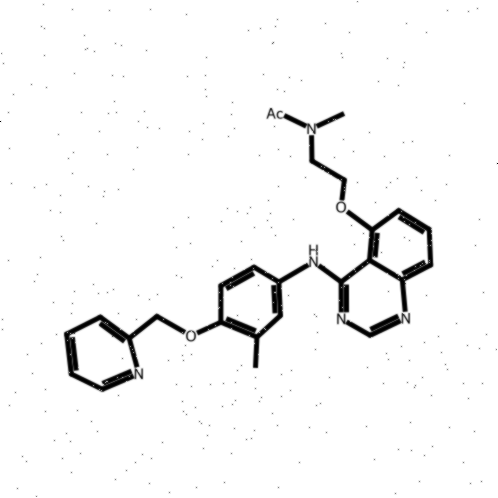 CC(=O)N(C)CCOc1cccc2ncnc(Nc3ccc(OCc4ccccn4)c(C)c3)c12